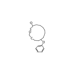 [O]C1CCCCCCC(Oc2cc[c]cc2)CCCCOC1